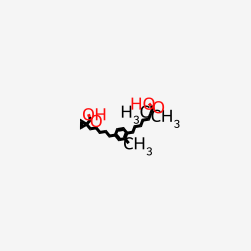 Cc1cc(CCCCCC2(C(=O)O)CC2)ccc1CCCCCC(C)(C)C(=O)O